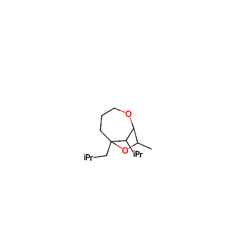 CC(C)CC12CCCOC(C(C)O1)C2C(C)C